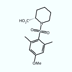 COc1cc(C)c(S(=O)(=O)N2CCCC[C@H]2C(=O)O)c(C)c1